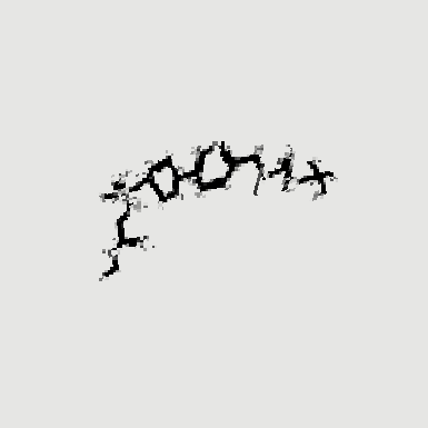 CCOC(=O)CN=S(C)(=O)c1ccc(-c2ccc(CNC(=O)OC(C)(C)C)nc2)cc1